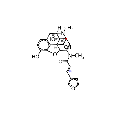 CN(C(=O)/C=C/c1ccoc1)C1CC[C@@]2(O)[C@H]3Cc4ccc(O)c5c4[C@@]2(C(O)CN3C)C1O5